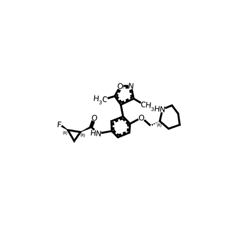 Cc1noc(C)c1-c1cc(NC(=O)[C@H]2C[C@H]2F)ccc1OC[C@H]1CCCCN1